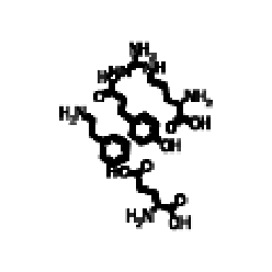 N=C(N)NCCC[C@@H](N)C(=O)O.NCCc1ccccc1.N[C@@H](CCC(=O)O)C(=O)O.O=C(O)CCc1ccc(O)cc1